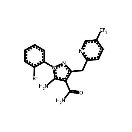 NC(=O)c1c(Cc2ccc(C(F)(F)F)cn2)nn(-c2ccccc2Br)c1N